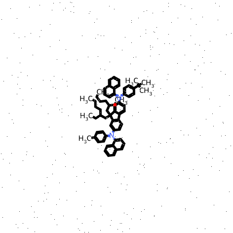 CCCCC(CC)CC1(CC(CC)CCCC)c2cc(N(c3ccc(C)cc3)c3cccc4ccccc34)ccc2-c2ccc(N(c3ccc(C(C)(C)C)cc3)c3cccc4ccccc34)cc21